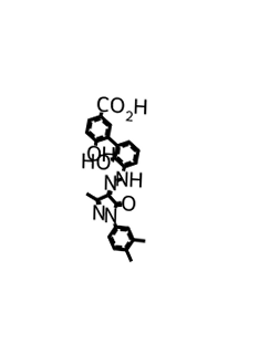 CC1=NN(c2ccc(C)c(C)c2)C(=O)/C1=N\Nc1cccc(-c2cc(C(=O)O)ccc2O)c1O